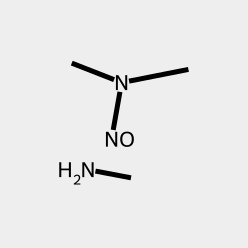 CN.CN(C)N=O